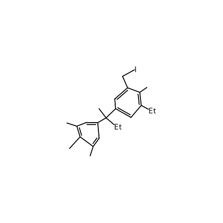 CCc1cc(C(C)(CC)c2cc(C)c(C)c(C)c2)cc(CI)c1C